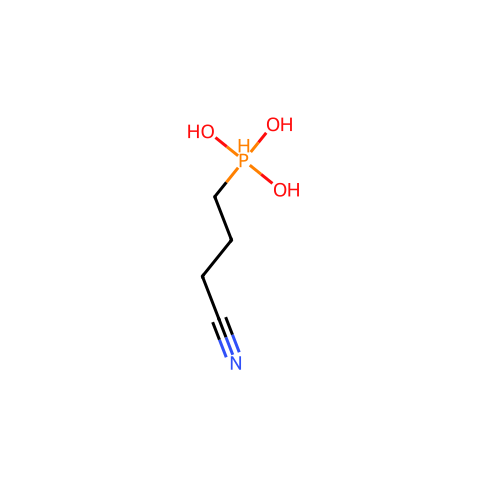 N#CCCC[PH](O)(O)O